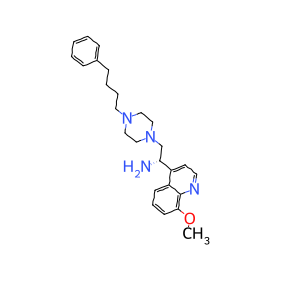 COc1cccc2c([C@H](N)CN3CCN(CCCCc4ccccc4)CC3)ccnc12